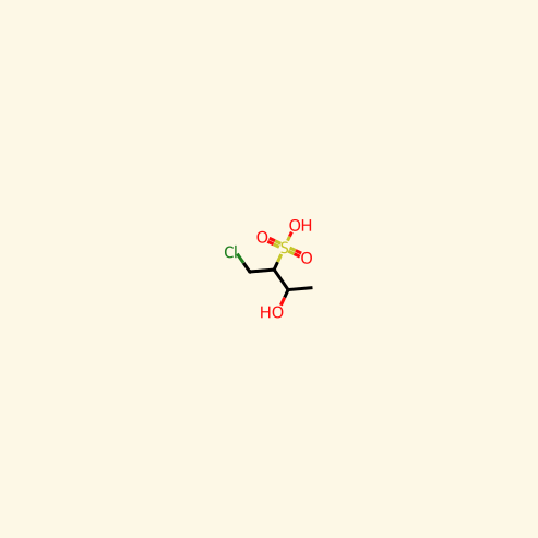 CC(O)C(CCl)S(=O)(=O)O